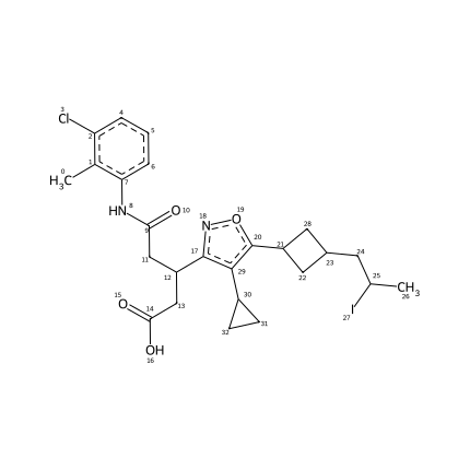 Cc1c(Cl)cccc1NC(=O)CC(CC(=O)O)c1noc(C2CC(CC(C)I)C2)c1C1CC1